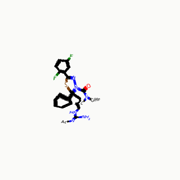 CON(C)C(=O)N1N=C(c2cc(F)ccc2F)SC1(CCCN/C(N)=N\C(C)=O)c1ccccc1